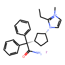 CCc1n([C@@H]2CC[C@H](C(C(N)=O)(c3ccccc3)c3ccccc3)C2)cc[n+]1C.[I-]